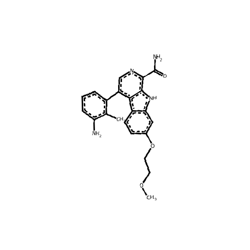 COCCOc1ccc2c(c1)[nH]c1c(C(N)=O)ncc(-c3cccc(N)c3C)c12